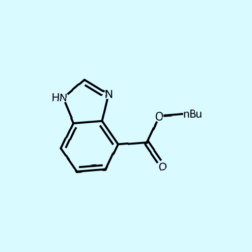 CCCCOC(=O)c1cccc2[nH]cnc12